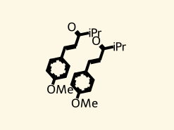 COc1ccc(C=CC(=O)C(C)C)cc1.COc1ccc(C=CC(=O)C(C)C)cc1